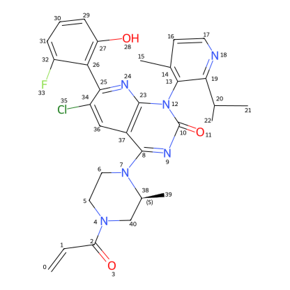 C=CC(=O)N1CCN(c2nc(=O)n(-c3c(C)ccnc3C(C)C)c3nc(-c4c(O)cccc4F)c(Cl)cc23)[C@@H](C)C1